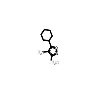 CCOC(=O)c1noc(C2CCCCC2)c1[N+](=O)[O-]